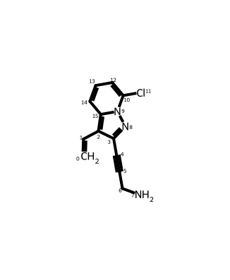 C=Cc1c(C#CCN)nn2c(Cl)cccc12